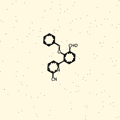 N#Cc1cccc(-c2cccc(C=O)c2OCc2ccccc2)n1